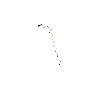 CC(C)=CCCC(C)CCOCCCCCCCCCO